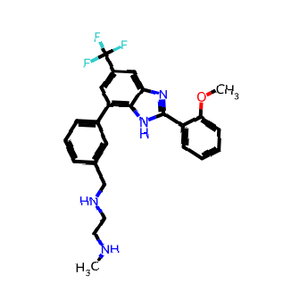 CNCCNCc1cccc(-c2cc(C(F)(F)F)cc3nc(-c4ccccc4OC)[nH]c23)c1